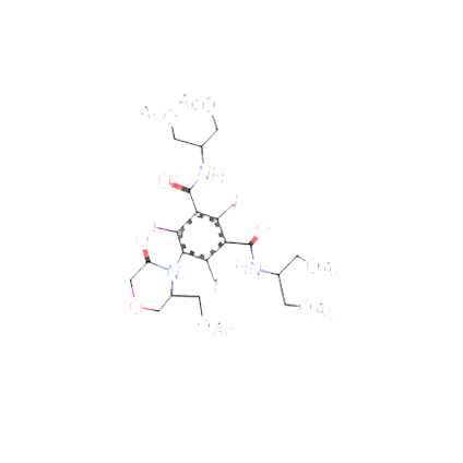 CC(=O)OCC(COC(C)=O)NC(=O)c1c(I)c(C(=O)NC(COC(C)=O)COC(C)=O)c(I)c(N2C(=O)COCC2COC(C)=O)c1I